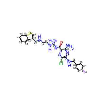 N/C(=N\C(=O)c1nc(Cl)c(NCc2ccc(I)cc2)nc1N)NCCNCc1csc2ccccc12